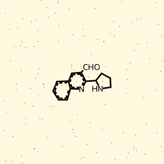 O=Cc1cc2ccccc2nc1C1CCCN1